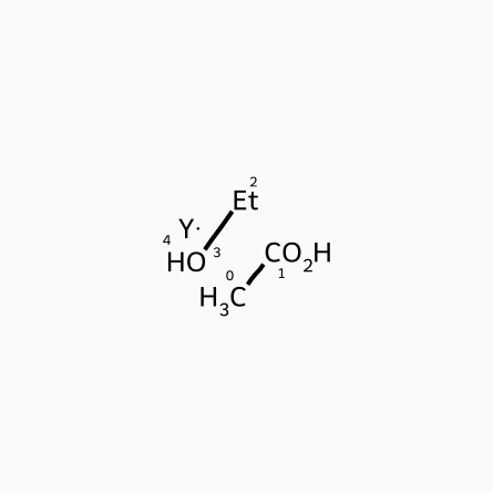 CC(=O)O.CCO.[Y]